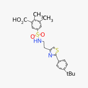 Cc1cc(S(=O)(=O)NCCc2csc(-c3ccc(C(C)(C)C)cc3)n2)cc(C(=O)O)c1C